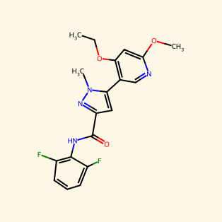 CCOc1cc(OC)ncc1-c1cc(C(=O)Nc2c(F)cccc2F)nn1C